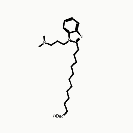 CCCCCCCCCCCCCCCCCCCCCc1nc2ccccc2n1CCCN(C)C